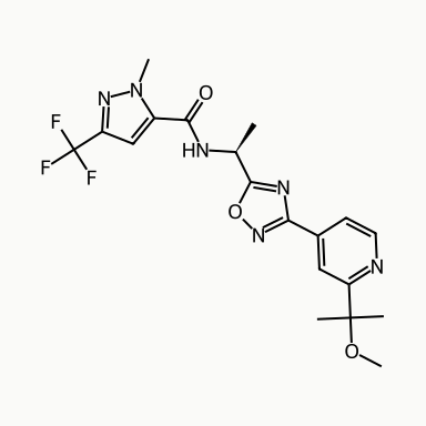 COC(C)(C)c1cc(-c2noc([C@H](C)NC(=O)c3cc(C(F)(F)F)nn3C)n2)ccn1